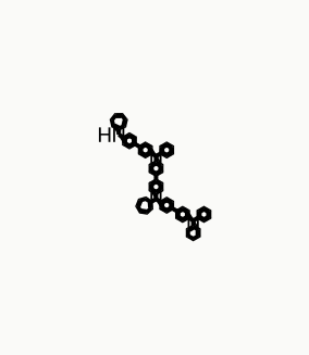 C1=CC=C(N(c2ccc(-c3ccc(N(C4=CCCC=C4)c4ccccc4)cc3)cc2)c2ccc(-c3ccc(N(c4ccccc4)c4ccc(-c5ccc(NC6=CCC=CC=C6)cc5)cc4)cc3)cc2)CC=C1